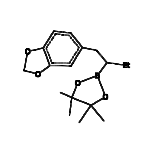 CCC(Cc1ccc2c(c1)OCO2)B1OC(C)(C)C(C)(C)O1